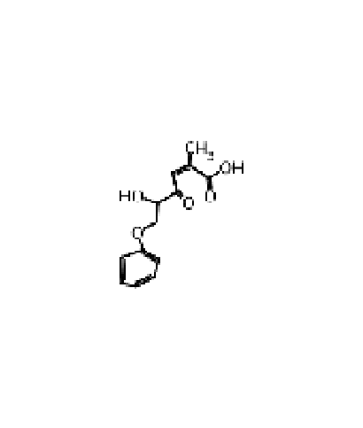 CC(=CC(=O)C(O)COc1ccccc1)C(=O)O